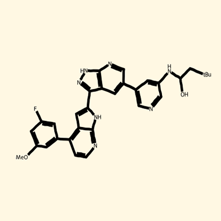 COc1cc(F)cc(-c2ccnc3[nH]c(-c4n[nH]c5ncc(-c6cncc(NC(O)CC(C)(C)C)c6)cc45)cc23)c1